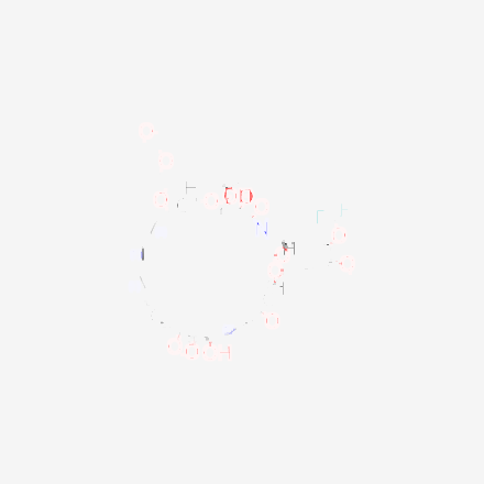 CO[C@@H]1C[C@H](CC2[C@H]3CCCN4C(=O)C(=O)[C@]5(O)O[C@@H](CC[C@H]5C)CC(OCCOC5COC5)/C(C)=C/C=C/C=C/[C@@H](C)C[C@@H](C)C(=O)[C@H](OC)[C@H](O)/C(C)=C/[C@@H](C)C(=O)C[C@@H]2OC(=O)C34)CC[C@H]1OC(F)F